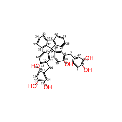 Oc1ccc(Cc2cc(C3(c4ccc(O)c(Cc5ccc(O)c(O)c5)c4)c4c#cccc4-c4ccccc43)ccc2O)cc1O